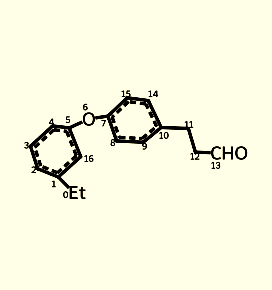 CCc1cccc(Oc2ccc(CCC=O)cc2)c1